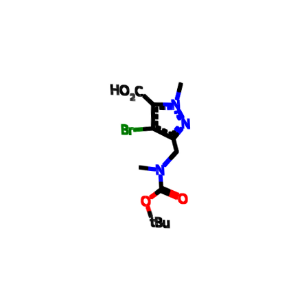 CN(Cc1nn(C)c(C(=O)O)c1Br)C(=O)OC(C)(C)C